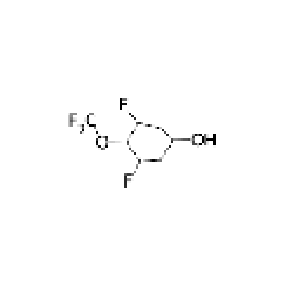 OC1CC(F)C(OC(F)(F)F)C(F)C1